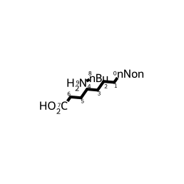 CCCCCCCCCCCCCCCC(=O)O.CCCCN